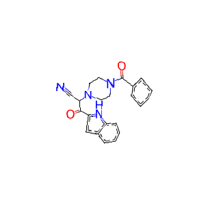 N#CC(C(=O)c1cc2ccccc2[nH]1)N1CCN(C(=O)c2ccccc2)CC1